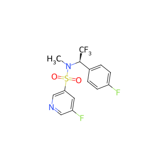 CN([C@H](c1ccc(F)cc1)C(F)(F)F)S(=O)(=O)c1cncc(F)c1